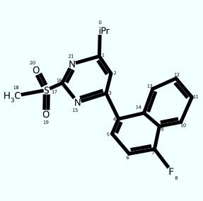 CC(C)c1cc(-c2ccc(F)c3ccccc23)nc(S(C)(=O)=O)n1